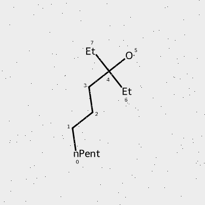 CCCCCCCCC([O])(CC)CC